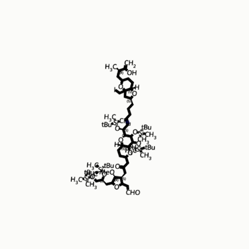 C=C(O)[C@H](C)CC1CC[C@@H]2O[C@@H](CCC/C=C/[C@H](O[Si](C)(C)C(C)(C)C)[C@@H]3O[C@H]4CCC(CC(=O)C[C@H]5C(CC=O)OC(C[C@@H](CO[Si](C)(C)C(C)(C)C)O[Si](C)(C)C(C)(C)C)[C@@H]5OC)O[C@@H]4C(O[Si](C)(C)C(C)(C)C)C3O[Si](C)(C)C(C)(C)C)CC2(CI)O1